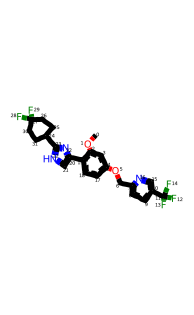 COc1cc(OCc2ccc(C(F)(F)F)cn2)ccc1-c1c[nH]c(C2CCC(F)(F)CC2)n1